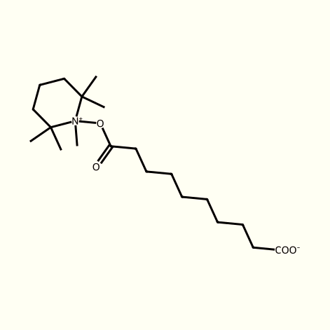 CC1(C)CCCC(C)(C)[N+]1(C)OC(=O)CCCCCCCCC(=O)[O-]